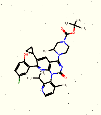 Cc1ccnc(C(C)C)c1-n1c(=O)nc(N2CCN(C(=O)OC(C)(C)C)CC2C)c2cc(C3CC3)c(-c3cc(F)ccc3O)nc21